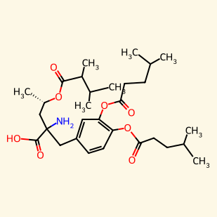 CC(C)CCC(=O)Oc1ccc(CC(N)(C[C@H](C)OC(=O)C(C)C(C)C)C(=O)O)cc1OC(=O)CCC(C)C